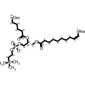 CCCCCCCCC/C=C\CCCCCCCC(=O)OC[C@H](COP(=O)([O-])OCC[N+](C)(C)C)OC(=O)CCCCCCCCCCCCCC